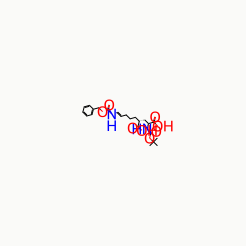 CC(C)(C)OC(=O)NC(C[C@@H](CCCC=CNC(=O)OCc1ccccc1)C(=O)O)C(=O)O